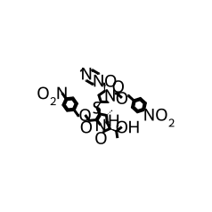 CC(O)[C@H]1C(=O)N2C(C(=O)OCc3ccc([N+](=O)[O-])cc3)=C(S[C@H]3C[C@@H](C(=O)N4CCN(C)CC4)N(C(=O)OCc4ccc([N+](=O)[O-])cc4)C3)[C@H](C)[C@H]12